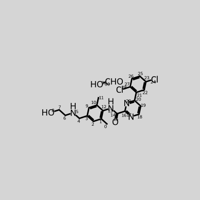 Cc1cc(CNCCO)cc(C)c1NC(=O)c1nccc(-c2cc(Cl)ccc2Cl)n1.O=CO